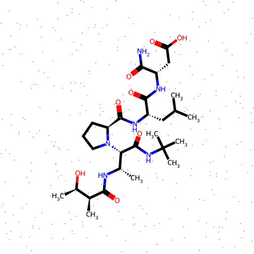 CC(C)C[C@H](NC(=O)[C@@H]1CCCN1[C@H](C(=O)NC(C)(C)C)[C@H](C)NC(=O)[C@@H](C)[C@@H](C)O)C(=O)N[C@@H](CC(=O)O)C(N)=O